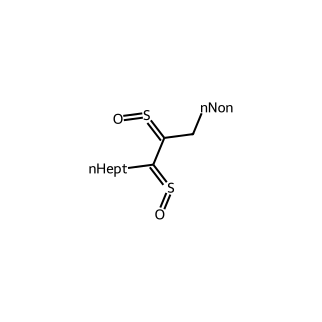 CCCCCCCCCCC(=S=O)C(CCCCCCC)=S=O